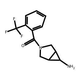 NC1C2CN(C(=O)c3ccccc3C(F)(F)F)CC12